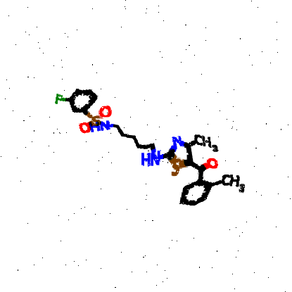 Cc1ccccc1C(=O)c1sc(NCCCCCNS(=O)(=O)c2cccc(F)c2)nc1C